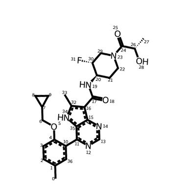 Cc1ccc(OCC2CC2)c(-c2ncnc3c(C(=O)N[C@@H]4CCN(C(=O)[C@H](C)O)C[C@H]4F)c(C)[nH]c23)c1